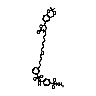 CC1(C)OCc2cc(C3CN(CCCCCCOCCCCc4cccc(S(=O)(=O)Nc5ccc(S(N)(=O)=O)cc5)c4)C(=O)O3)ccc2O1